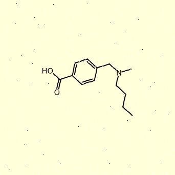 CCCCN(C)Cc1ccc(C(=O)O)cc1